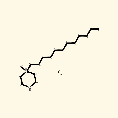 CCCCCCCCCCCC[N+]1(C)CCOCC1.[Cl-]